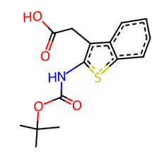 CC(C)(C)OC(=O)Nc1sc2ccccc2c1CC(=O)O